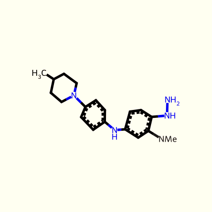 CNc1cc(Nc2ccc(N3CCC(C)CC3)cc2)ccc1NN